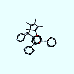 CC1=C(C)C(C)([SiH](c2ccccc2)c2ccccc2)C(c2cc(-c3ccccc3)cc(-c3ccccc3)c2)=C1C